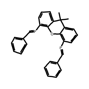 CC1(C)c2cccc(P=Cc3ccccc3)c2Oc2c(P=Cc3ccccc3)cccc21